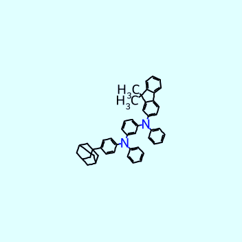 CC1(C)c2ccccc2-c2ccc(N(c3ccccc3)c3cccc(N(c4ccccc4)c4ccc(C56CC7CC(CC(C7)C5)C6)cc4)c3)cc21